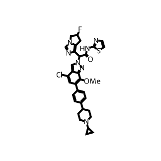 COc1c(-c2ccc(C3CCN(C4CC4)CC3)cc2)cc(Cl)c2cn(C(C(=O)Nc3nccs3)c3ncn4c3CC(F)C4)nc12